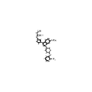 CNc1cc2c(cn1)c(-c1cnn(C[C@H](O)CO)c1)nn2C1CCC(Oc2cccnc2C(F)(F)F)CC1